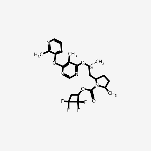 Cc1ncccc1Oc1ncnc(O[C@H](C)CC2CCC(C)N2C(=O)OC2CC(F)(F)C2(F)F)c1C